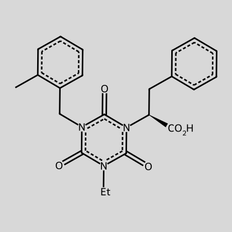 CCn1c(=O)n(Cc2ccccc2C)c(=O)n([C@@H](Cc2ccccc2)C(=O)O)c1=O